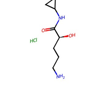 Cl.NCCC[C@H](O)C(=O)NC1CC1